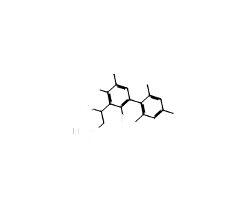 Cc1cc(C)c(-c2cc(C)c(F)c(C(N)CC(=O)O)c2F)c(C)c1